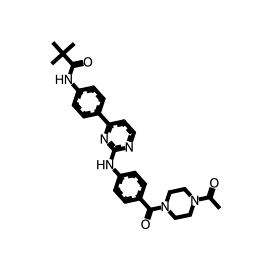 CC(=O)N1CCN(C(=O)c2ccc(Nc3nccc(-c4ccc(NC(=O)C(C)(C)C)cc4)n3)cc2)CC1